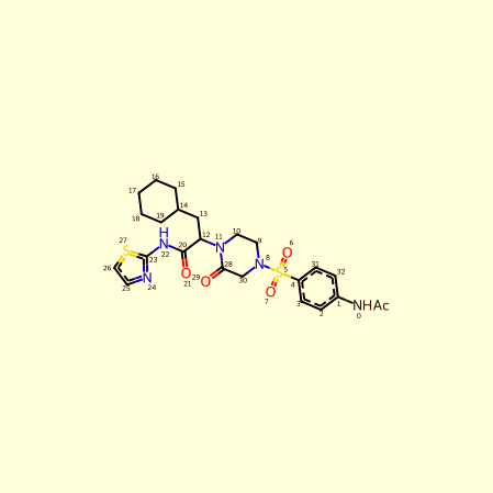 CC(=O)Nc1ccc(S(=O)(=O)N2CCN(C(CC3CCCCC3)C(=O)Nc3nccs3)C(=O)C2)cc1